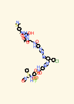 Cc1ncsc1-c1ccc([C@H](C)NC(=O)[C@@H]2C[C@@H](O)CN2C(=O)[C@@H](NC(=O)CCCNC(=O)c2ccc(N3CCN(CCN(C)CC4(C)CCC(c5ccc(Cl)cc5)=C(CN5CCN(c6ccc(C(=O)NS(=O)(=O)c7ccc(N[C@H](CCN8CCOCC8)CSc8ccccc8)c(S(=O)(=O)C(F)(F)F)c7)cc6)CC5)C4)CC3)cc2)C(C)(C)C)cc1